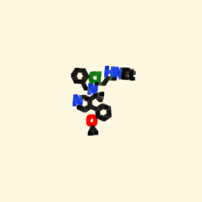 CCNCCCCN(Cc1ccccc1Cl)C1(c2cnccc2-c2ccccc2OC2CC2)CC1